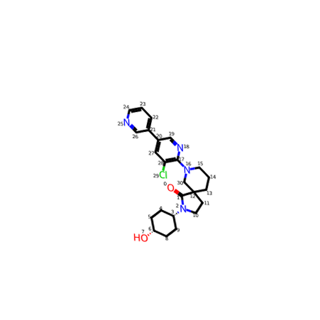 O=C1N([C@H]2CC[C@@H](O)CC2)CCC12CCCN(c1ncc(-c3cccnc3)cc1Cl)C2